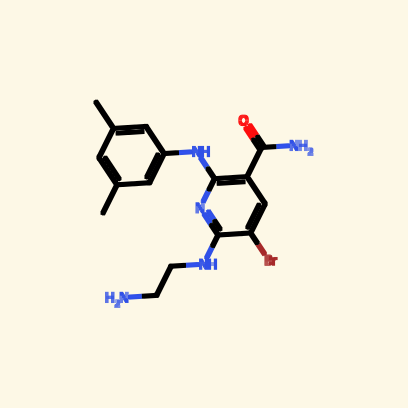 Cc1cc(C)cc(Nc2nc(NCCN)c(Br)cc2C(N)=O)c1